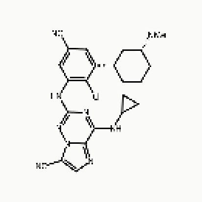 CN[C@@H]1CCC[C@H](c2cc(C#N)cc(Nc3nc(NC4CC4)c4ncc(C#N)n4n3)c2Cl)C1